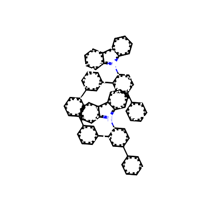 c1ccc(-c2ccc(-n3c4ccccc4c4ccccc43)c(-c3cccc(-c4cccc(-c5cccc(-c6cc(-c7ccccc7)ccc6-n6c7ccccc7c7ccccc76)c5)c4)c3)c2)cc1